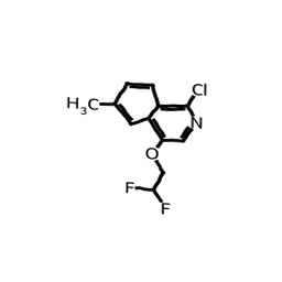 Cc1ccc2c(Cl)ncc(OCC(F)F)c2c1